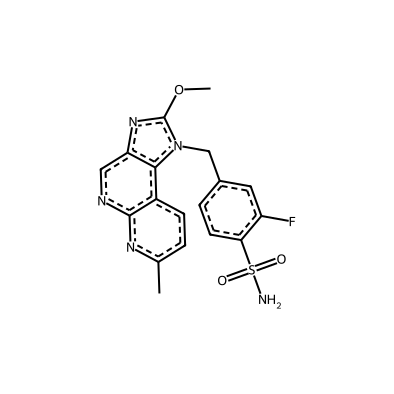 COc1nc2cnc3nc(C)ccc3c2n1Cc1ccc(S(N)(=O)=O)c(F)c1